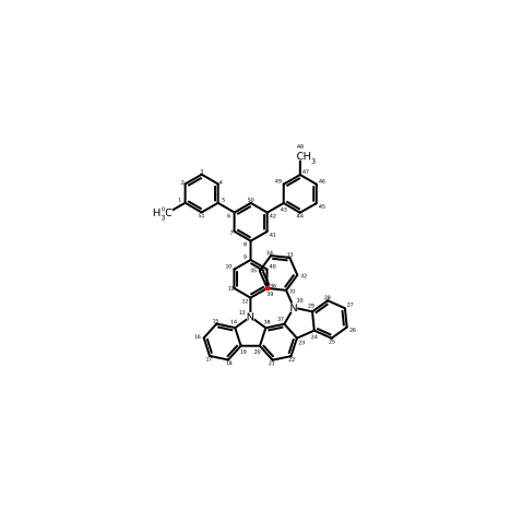 Cc1cccc(-c2cc(-c3ccc(-n4c5ccccc5c5ccc6c7ccccc7n(-c7ccccc7)c6c54)cc3)cc(-c3cccc(C)c3)c2)c1